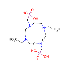 O=C(O)CN1CCN(CP(=O)(O)O)CCN(CC(=O)O)CCN(CP(=O)(O)O)CC1